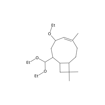 CCOC1C=C(C)CCC2C(CC2(C)C)C(C(OCC)OCC)C1